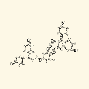 Cc1cc(OCC=C(c2ccc(Br)cc2)c2ccc(Br)cc2)ccc1OC(C(=O)O)C(Cl)C=C(c1ccc(Br)cc1)c1ccc(Br)cc1